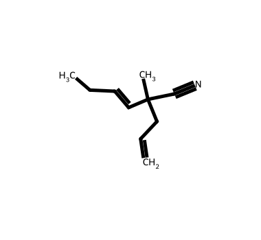 C=CCC(C)(C#N)C=CCC